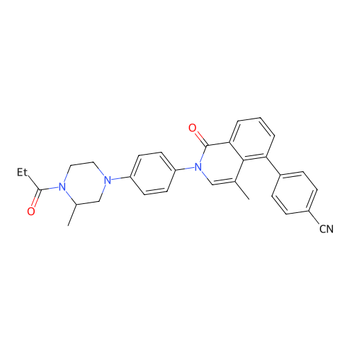 CCC(=O)N1CCN(c2ccc(-n3cc(C)c4c(-c5ccc(C#N)cc5)cccc4c3=O)cc2)CC1C